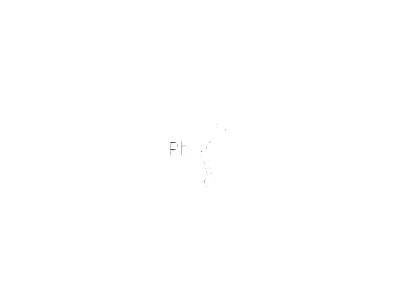 O=P[O-].[Rb+]